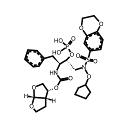 O=C(N[C@@H](Cc1ccccc1)[C@@H](CN(OC1CCCC1)S(=O)(=O)c1ccc2c(c1)OCCO2)OP(=O)(O)O)O[C@H]1CO[C@H]2OCC[C@H]21